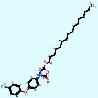 CCCCCCCCCCCCCCCCOc1nn(-c2ccc(Oc3ccc(Cl)cc3)cc2)c(=O)o1